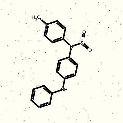 Cc1ccc(N(c2ccc(Nc3ccccc3)cc2)[SH](=O)=O)cc1